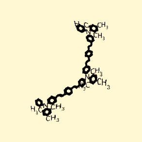 Cc1cc(C)c(N(c2ccccc2)c2ccc(C=Cc3ccc(C=Cc4ccc(N(c5ccc(C=Cc6ccc(C=Cc7ccc(N(c8ccccc8)c8c(C)cc(C)cc8C)cc7)cc6)cc5)c5c(C)cc(C)cc5C)cc4)cc3)cc2)c(C)c1